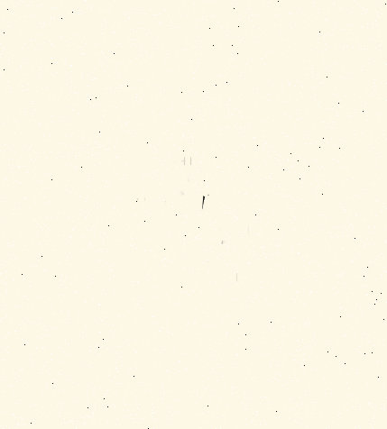 O=C1O[C@H]([C@H](O)CO)C[C@H]1O